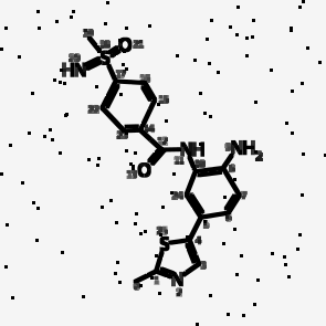 Cc1ncc(-c2ccc(N)c(NC(=O)c3ccc(S(C)(=N)=O)cc3)c2)s1